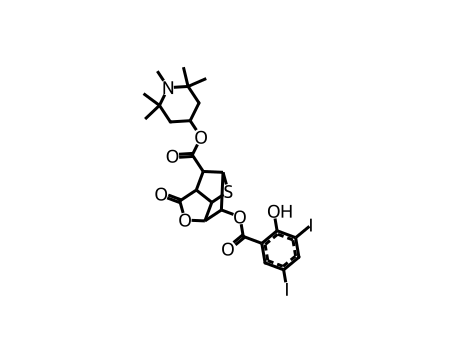 CN1C(C)(C)CC(OC(=O)C2C3SC4C(OC(=O)C42)C3OC(=O)c2cc(I)cc(I)c2O)CC1(C)C